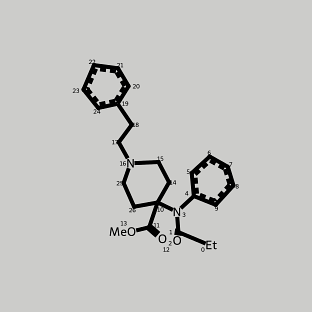 CCC(=O)N(c1ccccc1)C1(C(=O)O[11CH3])CCN(CCc2ccccc2)CC1